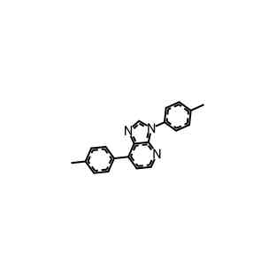 Cc1ccc(-c2ccnc3c2ncn3-c2ccc(C)cc2)cc1